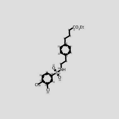 CCOC(=O)CCCc1ccc(CCNS(=O)(=O)c2ccc(Cl)c(Cl)c2)cc1